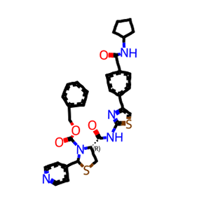 O=C(NC1CCCC1)c1ccc(-c2csc(NC(=O)[C@@H]3CSC(c4ccncc4)N3C(=O)OCc3ccccc3)n2)cc1